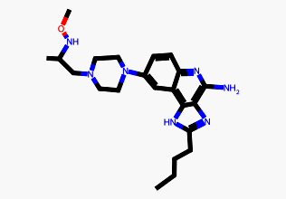 CCCCc1nc2c(N)nc3ccc(N4CCN(CC(C)NOC)CC4)cc3c2[nH]1